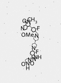 COc1cc(-c2cn(C)c(=O)c3cnccc23)cc(F)c1CN1CCC(C2CCN(c3ccc4c(N5CCC(=O)NC5=O)n[nH]c4c3F)CC2)CC1